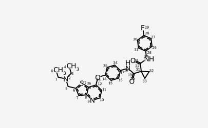 CCN(CC)Cc1cc2nccc(Oc3ccc(NC(=O)C4(C(=O)Nc5ccc(F)cc5)CC4)cc3)c2s1